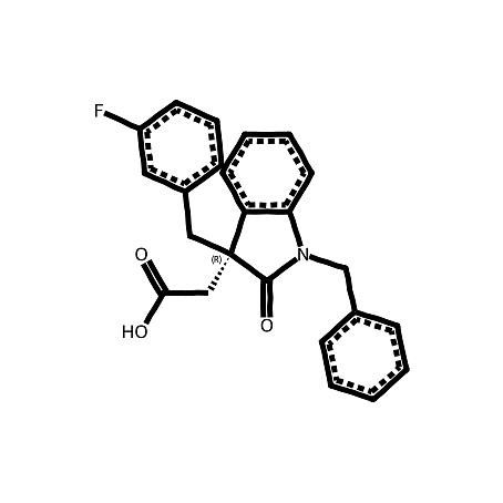 O=C(O)C[C@@]1(Cc2cccc(F)c2)C(=O)N(Cc2ccccc2)c2ccccc21